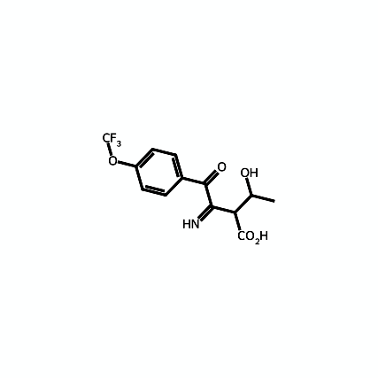 CC(O)C(C(=N)C(=O)c1ccc(OC(F)(F)F)cc1)C(=O)O